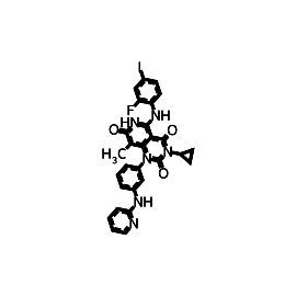 Cc1c(=O)[nH]c(Nc2ccc(I)cc2F)c2c(=O)n(C3CC3)c(=O)n(-c3cccc(Nc4ccccn4)c3)c12